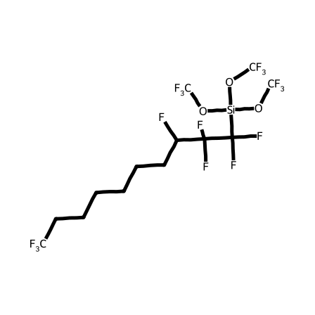 FC(CCCCCCC(F)(F)F)C(F)(F)C(F)(F)[Si](OC(F)(F)F)(OC(F)(F)F)OC(F)(F)F